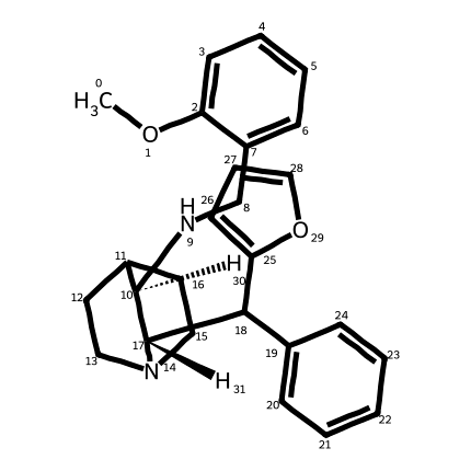 COc1ccccc1CN[C@@H]1C2CCN(CC2)[C@H]1C(c1ccccc1)c1ccco1